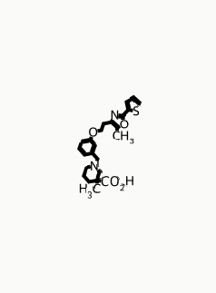 Cc1oc(-c2cccs2)nc1CCOc1cccc(CN2CCCC(C)(C(=O)O)C2)c1